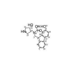 Cl.O=C(O)N(CC1c2ccccc2-c2ccccc21)[C@@H]1CNC[C@@H]1O